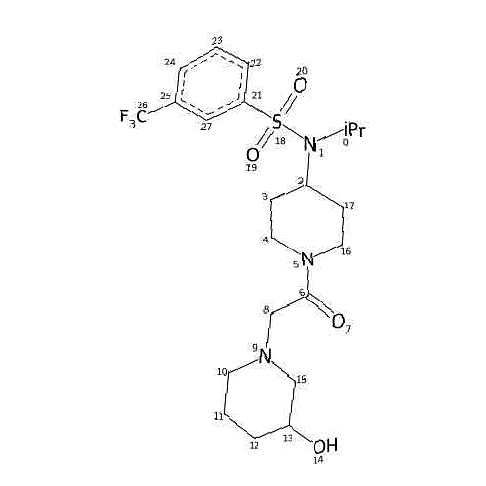 CC(C)N(C1CCN(C(=O)CN2CCCC(O)C2)CC1)S(=O)(=O)c1cccc(C(F)(F)F)c1